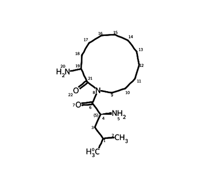 CC(C)C[C@H](N)C(=O)N1CCCCCCCCCCC(N)C1=O